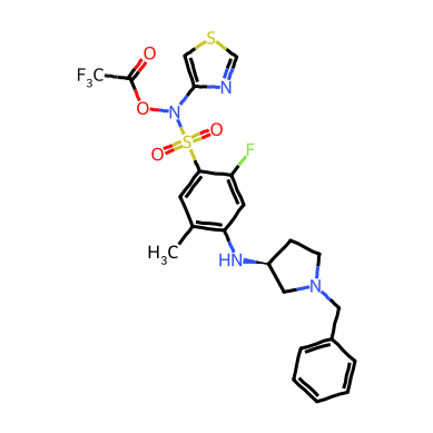 Cc1cc(S(=O)(=O)N(OC(=O)C(F)(F)F)c2cscn2)c(F)cc1N[C@H]1CCN(Cc2ccccc2)C1